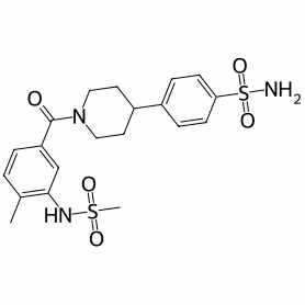 Cc1ccc(C(=O)N2CCC(c3ccc(S(N)(=O)=O)cc3)CC2)cc1NS(C)(=O)=O